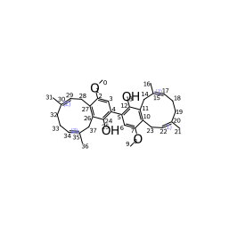 COc1cc(-c2cc(OC)c3c(c2O)C/C(C)=C\CC/C(C)=C\C3)c(O)c2c1C/C=C(/C)CC/C=C(/C)C2